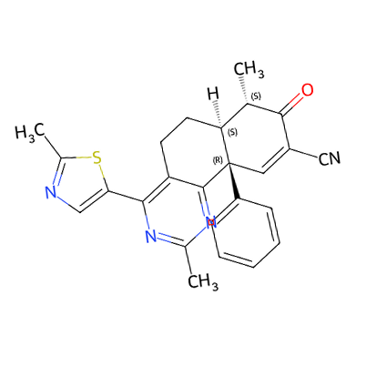 Cc1nc(-c2cnc(C)s2)c2c(n1)[C@@]1(c3ccccc3)C=C(C#N)C(=O)[C@@H](C)[C@@H]1CC2